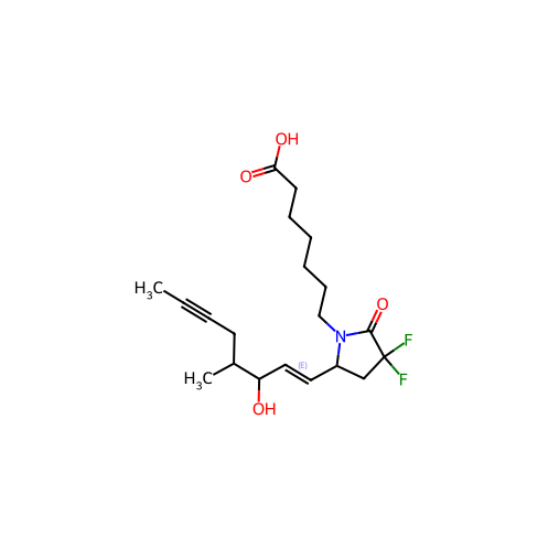 CC#CCC(C)C(O)/C=C/C1CC(F)(F)C(=O)N1CCCCCCC(=O)O